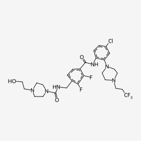 O=C(Nc1ccc(Cl)cc1N1CCN(CCC(F)(F)F)CC1)c1ccc(CNC(=O)N2CCN(CCO)CC2)c(F)c1F